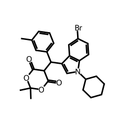 Cc1cccc(C(c2cn(C3CCCCC3)c3ccc(Br)cc23)C2C(=O)OC(C)(C)OC2=O)c1